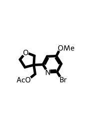 COc1cc(Br)nc(C2(COC(C)=O)CCOC2)c1